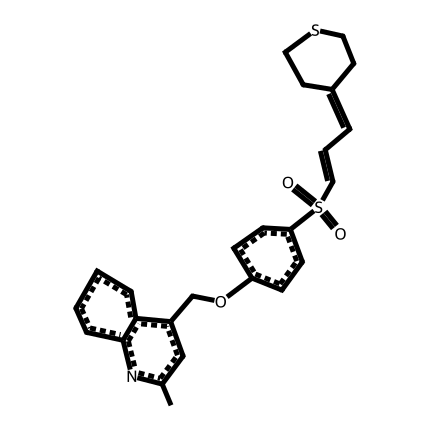 Cc1cc(COc2ccc(S(=O)(=O)C=CC=C3CCSCC3)cc2)c2ccccc2n1